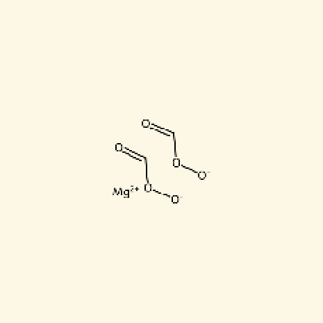 O=CO[O-].O=CO[O-].[Mg+2]